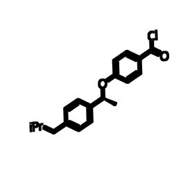 CC(C)Cc1ccc([C@H](C)Oc2ccc(C(=O)Cl)cc2)cc1